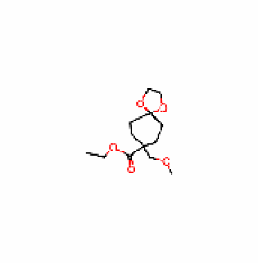 CCOC(=O)C1(COC)CCC2(CC1)OCCO2